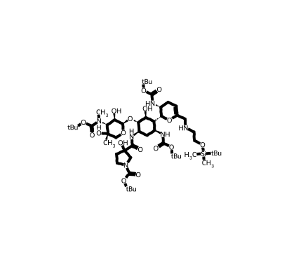 CN(C(=O)OC(C)(C)C)[C@@H]1[C@@H](O)[C@@H](O[C@H]2[C@H](NC(=O)C3(O)CCN(C(=O)OC(C)(C)C)C3)C[C@H](NC(=O)OC(C)(C)C)C([C@H]3OC(CNCCO[Si](C)(C)C(C)(C)C)=CC[C@H]3NC(=O)OC(C)(C)C)[C@@H]2O)OC[C@]1(C)O